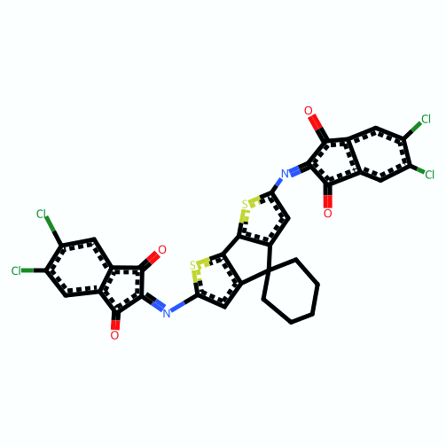 O=c1c(=Nc2cc3c(s2)-c2sc(N=c4c(=O)c5cc(Cl)c(Cl)cc5c4=O)cc2C32CCCCC2)c(=O)c2cc(Cl)c(Cl)cc12